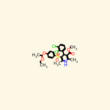 CCOC(C)Oc1ccc(S(=O)(=O)C2=C(C)NC(C)=C(C(=O)OC)C2c2cccc(Cl)c2Cl)cc1